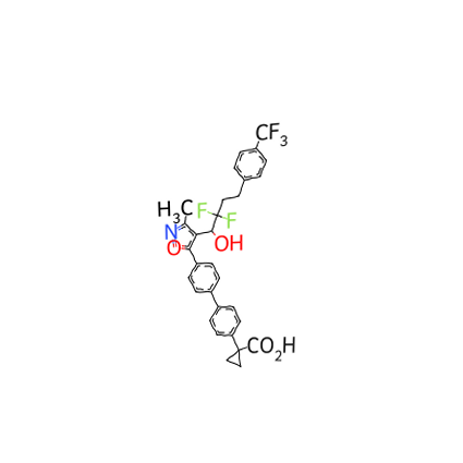 Cc1noc(-c2ccc(-c3ccc(C4(C(=O)O)CC4)cc3)cc2)c1C(O)C(F)(F)CCc1ccc(C(F)(F)F)cc1